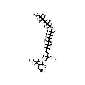 CCC(C)(CC)C(CC(C)(C)C)C(=O)OCC(C)(C)CCC(F)(F)C(F)(F)C(F)(F)C(F)(F)C(F)(F)C(F)(F)OC(F)(F)C(F)(F)C(F)(F)C(F)(F)C(F)(F)C(F)(F)F